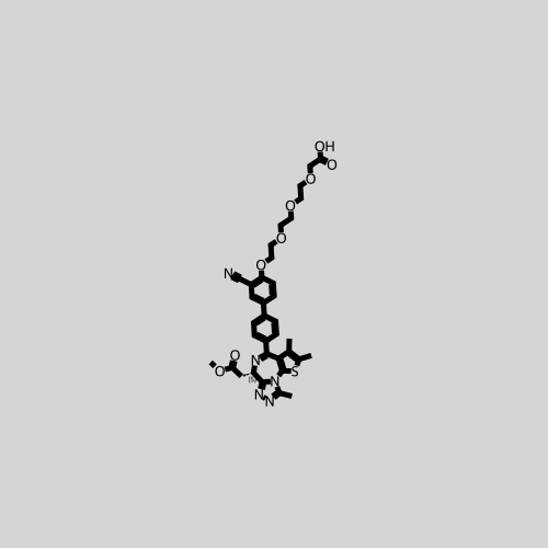 COC(=O)C[C@@H]1N=C(c2ccc(-c3ccc(OCCOCCOCCOCC(=O)O)c(C#N)c3)cc2)c2c(sc(C)c2C)-n2c(C)nnc21